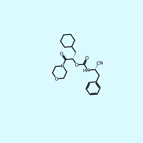 N#C[C@H](Cc1ccccc1)NC(=O)O[C@@H](CC1CCCCC1)C(=O)N1CCOCC1